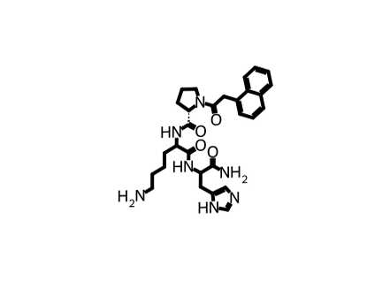 NCCCCC(NC(=O)[C@@H]1CCCN1C(=O)Cc1cccc2ccccc12)C(=O)NC(Cc1cnc[nH]1)C(N)=O